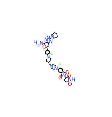 NC(=O)c1nnc(N2CCCCC2)nc1CCc1ccc(N2CCC(CN3CCN(c4cc5c(cc4F)C(=O)N(C4CCC(=O)NC4=O)C5=O)CC3)CC2)c(F)c1